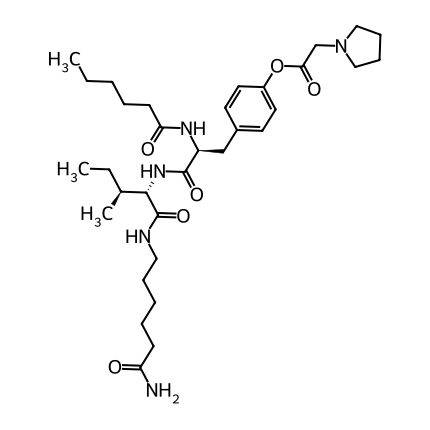 CCCCCC(=O)N[C@@H](Cc1ccc(OC(=O)CN2CCCC2)cc1)C(=O)N[C@H](C(=O)NCCCCCC(N)=O)[C@@H](C)CC